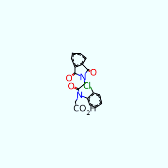 O=C(O)CN(C(=O)CN1C(=O)c2ccccc2C1=O)c1ccccc1Cl